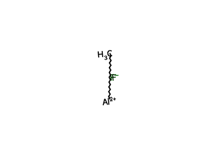 CCCCCCCCCCCCCCCCCCC[CH2][Al+2].[F-].[F-]